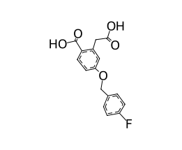 O=C(O)Cc1cc(OCc2ccc(F)cc2)ccc1C(=O)O